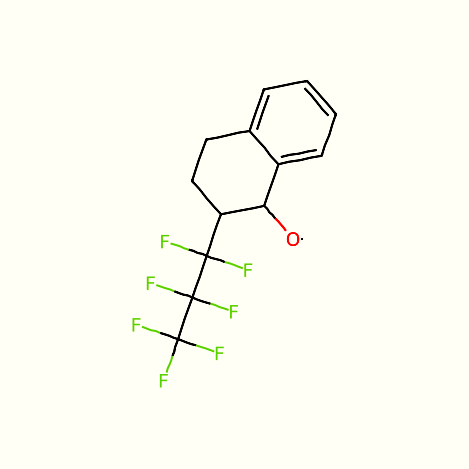 [O]C1c2ccccc2CCC1C(F)(F)C(F)(F)C(F)(F)F